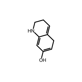 OC1=CCC2=CCCNC2=C1